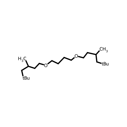 CC(CCOCCCCOCCC(C)CC(C)(C)C)CC(C)(C)C